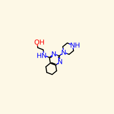 OCCNc1nc(N2CCNCC2)nc2c1CCCC2